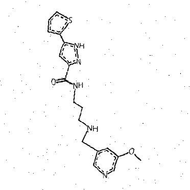 COc1cncc(CNCCCNC(=O)c2cc(-c3cccs3)[nH]n2)c1